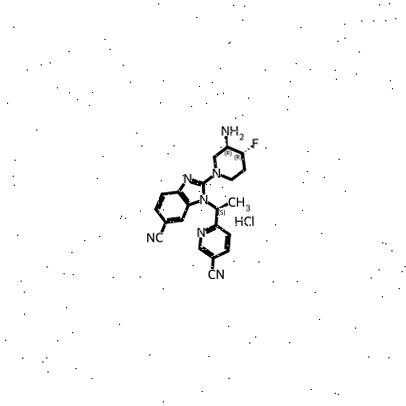 C[C@@H](c1ccc(C#N)cn1)n1c(N2CC[C@@H](F)[C@H](N)C2)nc2ccc(C#N)cc21.Cl